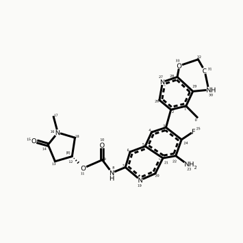 Cc1c(-c2cc3cc(NC(=O)O[C@@H]4CC(=O)N(C)C4)ncc3c(N)c2F)cnc2c1NCCO2